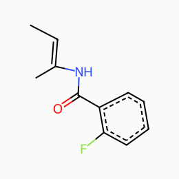 C/C=C(\C)NC(=O)c1ccccc1F